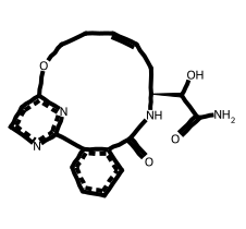 NC(=O)C(O)[C@@H]1C/C=C\CCOc2ccnc(n2)-c2ccccc2C(=O)N1